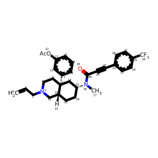 C=CCN1CC[C@@]2(c3cccc(OC(C)=O)c3)C[C@H](N(C)C(=O)C#Cc3ccc(C(F)(F)F)cc3)CC[C@@H]2C1